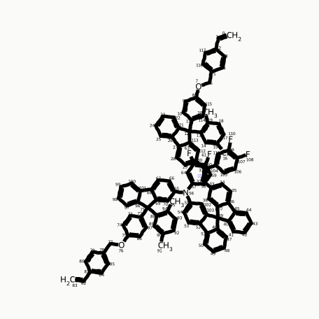 C=Cc1ccc(COc2ccc(C3(c4cc(C)ccc4C)c4ccccc4-c4ccc(/C(=C/c5ccc6c(c5)C5(c7ccccc7-6)c6ccccc6-c6ccc(N(c7ccc(F)c(F)c7)c7ccc8c(c7)C(c7ccc(OCc9ccc(C=C)cc9)cc7)(c7cc(C)ccc7C)c7ccccc7-8)cc65)c5ccc(F)c(F)c5)cc43)cc2)cc1